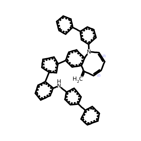 C=C1/C=C\C=C/N(c2cccc(-c3ccccc3)c2)c2ccc(-c3cccc(-c4ccccc4Nc4ccc(-c5ccccc5)cc4)c3)cc21